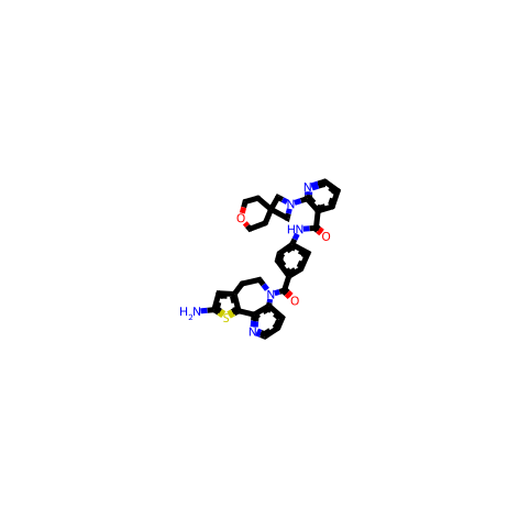 Nc1cc2c(s1)-c1ncccc1N(C(=O)c1ccc(NC(=O)c3cccnc3N3CC4(CCOCC4)C3)cc1)CC2